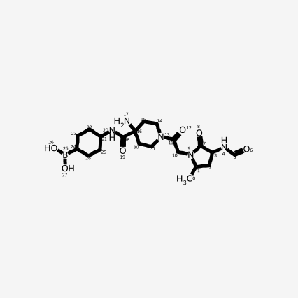 CC1CC(NC=O)C(=O)N1CC(=O)N1CCC(N)(C(=O)NC2CCC(B(O)O)CC2)CC1